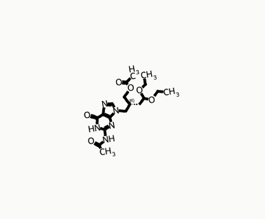 CCOC(C[C@@H](COC(C)=O)Cn1cnc2c(=O)[nH]c(NC(C)=O)nc21)OCC